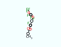 CC1CCC(C2COC(c3ccc(C4CCC(C(F)(F)Oc5ccc(OCC(F)(F)F)c(F)c5)CC4)c(F)c3)OC2)CC1